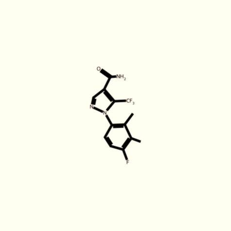 Cc1c(F)ccc(-n2ncc(C(N)=O)c2C(F)(F)F)c1C